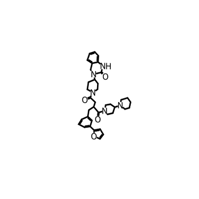 O=C(CC(Cc1cccc(-c2ccco2)c1)C(=O)N1CCC(N2CCCCC2)CC1)N1CCC(N2Cc3ccccc3NC2=O)CC1